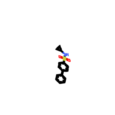 O=S(=O)(NC1CC1)c1ccc(-c2ccccc2)cc1